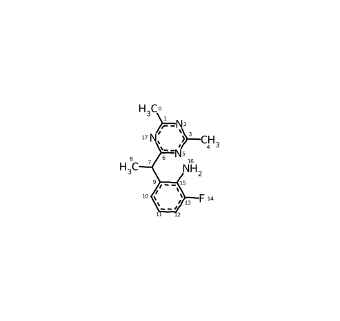 Cc1nc(C)nc(C(C)c2cccc(F)c2N)n1